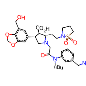 CCCCN(C(=O)CN1C[C@H](c2cc(CO)c3c(c2)OCO3)[C@@H](C(=O)O)[C@@H]1CCN1CCCS1(=O)=O)c1cccc(CN)c1